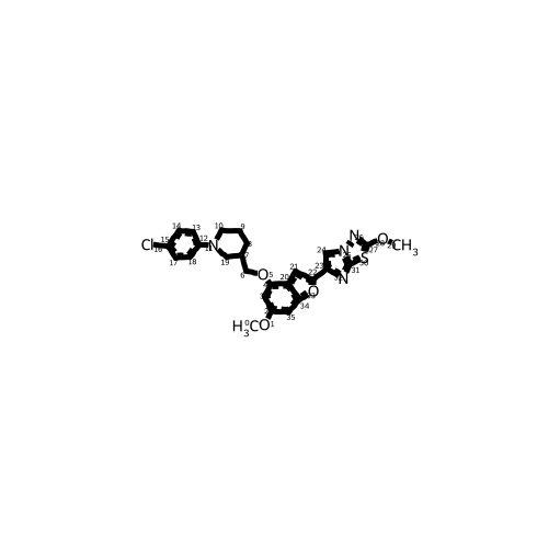 COc1cc(OCC2CCCN(c3ccc(Cl)cc3)C2)c2cc(-c3cn4nc(OC)sc4n3)oc2c1